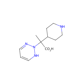 CC(C(=O)O)(C1CCNCC1)N1N=CC=CN1